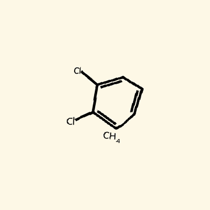 C.Clc1ccccc1Cl